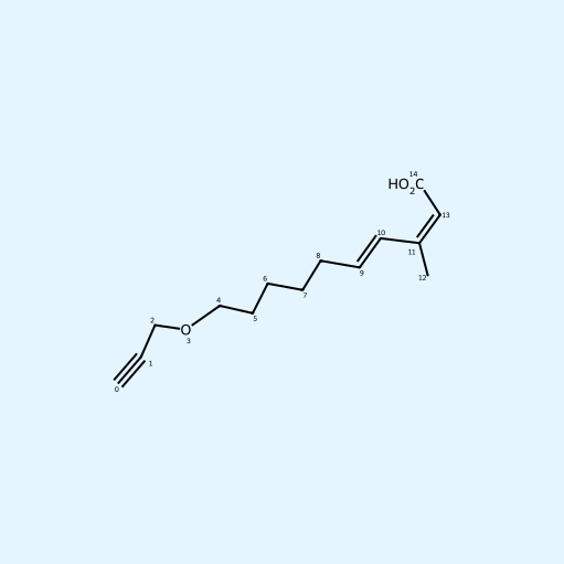 C#CCOCCCCCC=CC(C)=CC(=O)O